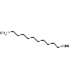 CCOC(=O)CCCCCCCCCCNC